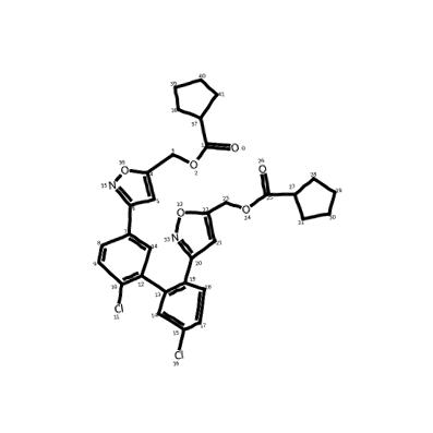 O=C(OCc1cc(-c2ccc(Cl)c(-c3cc(Cl)ccc3-c3cc(COC(=O)C4CCCC4)on3)c2)no1)C1CCCC1